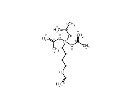 C=COCCCC[Si](OC(=C)C)(OC(=C)C)OC(=C)C